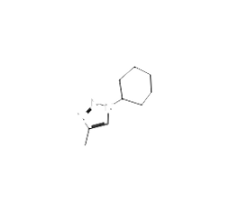 Cc1cn(C2CCCCC2)nn1